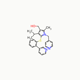 Cc1c(CO)c(C(C)C)c(Sc2ccccc2-c2cccnc2)n1Cc1ccncc1